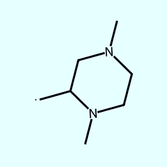 [CH2]C1CN(C)CCN1C